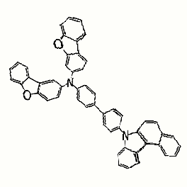 c1ccc2c(c1)ccc1c2c2ccccc2n1-c1ccc(-c2ccc(N(c3ccc4c(c3)oc3ccccc34)c3ccc4oc5ccccc5c4c3)cc2)cc1